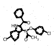 CC(=O)N(Oc1ccc(Cl)cc1)c1c(C(=O)c2ccccc2)[nH]c2cc(Cl)ccc12